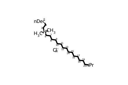 CCCCCCCCCCCC[N+](C)(C)CCCCCCCCCCCCCCCC(C)C.[Cl-]